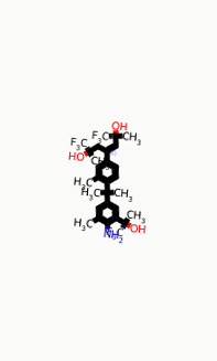 Cc1cc(/C(=C/C(C)(O)C(F)(F)F)CC(C)(O)C(F)(F)F)ccc1C(C)(C)c1cc(C)c(N)c(C(C)(O)C(F)(F)F)c1